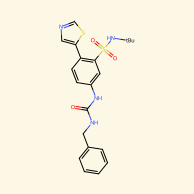 CC(C)(C)NS(=O)(=O)c1cc(NC(=O)NCc2ccccc2)ccc1-c1cn[c]s1